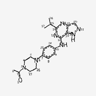 CC(=O)N1CCN(c2ccc(Nc3nc(C(C)C)nc4cn[nH]c34)cc2)CC1